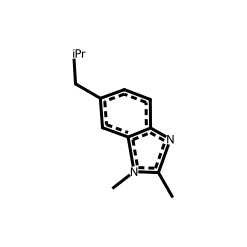 Cc1nc2ccc(CC(C)C)cc2n1C